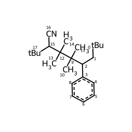 CC(C)(C)CC(c1ccccc1)C(C)(C)C(C)(C)C(C#N)C(C)(C)C